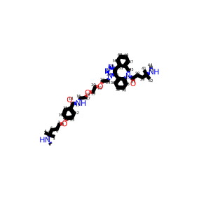 CNC(C)(C)CCCOc1ccc(C(=O)NCCOCCOCCn2nnc3c2-c2ccccc2N(C(=O)CCC(C)(C)NC)Cc2ccccc2-3)cc1